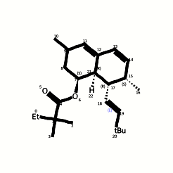 CCC(C)(C)C(=O)O[C@H]1CC(C)C=C2C=C[C@H](C)[C@H](/C=C/C(C)(C)C)[C@H]21